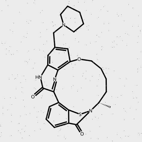 C[C@H]1CCCCOc2cc(CN3CCCCC3)cc3[nH]c(=O)c(nc23)-c2cccc3c(=O)n1sc23